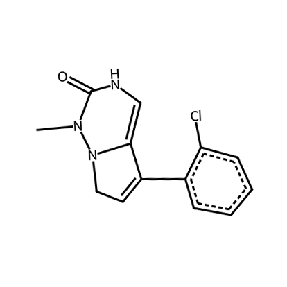 CN1C(=O)NC=C2C(c3ccccc3Cl)=CCN21